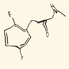 CNC(=O)Cc1cc(F)ccc1F